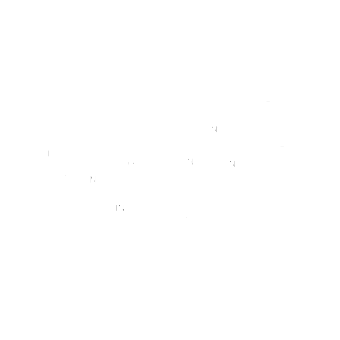 O=C(Nc1ccc(F)c(-c2cn3cc(C(F)(F)F)cnc3n2)c1)N1CC(F)(F)C1